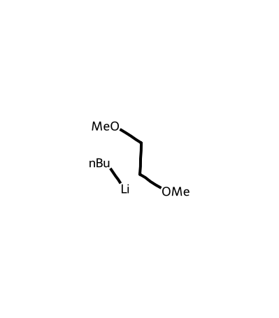 COCCOC.[Li][CH2]CCC